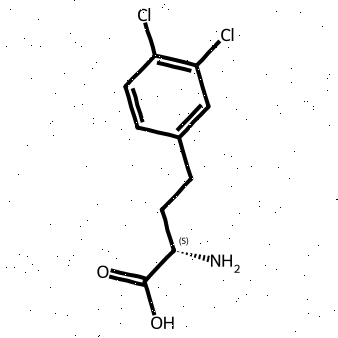 N[C@@H](CCc1ccc(Cl)c(Cl)c1)C(=O)O